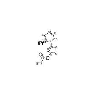 C=CC(=O)Oc1ccc(-c2ccccc2C(C)C)s1